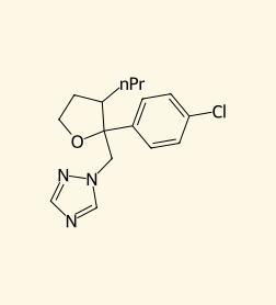 CCCC1CCOC1(Cn1cncn1)c1ccc(Cl)cc1